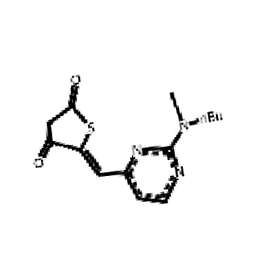 CCCCN(C)c1nccc(/C=C2\SC(=O)CC2=O)n1